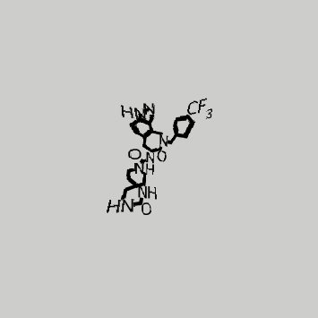 O=C1NCCC2(CCN(C(=O)N[C@@H]3Cc4ccc5[nH]ncc5c4CN(Cc4ccc(C(F)(F)F)cc4)C3=O)CC2)N1